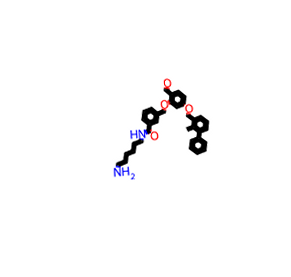 Cc1c(COc2ccc(C=O)c(OCc3cccc(C(=O)NCCCCCCN)c3)c2)cccc1-c1ccccc1